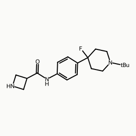 CC(C)(C)N1CCC(F)(c2ccc(NC(=O)C3CNC3)cc2)CC1